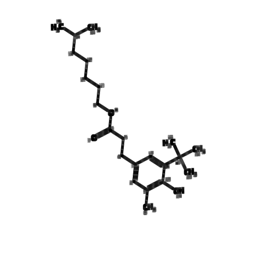 Cc1cc(CCC(=O)OCCCCCC(C)C)cc(C(C)(C)C)c1O